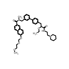 CCOC(Cc1ccc(-c2cccc(CN(C)C(=O)c3ccc4cc(OCOCCOC)ccc4c3)c2)cc1)C(=O)NCCN1CCCCC1